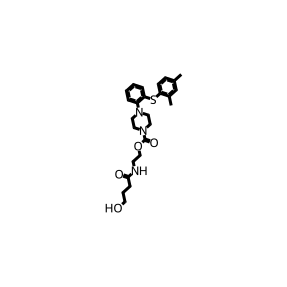 Cc1ccc(Sc2ccccc2N2CCN(C(=O)OCCNC(=O)CCCO)CC2)c(C)c1